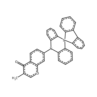 Cc1coc2cc(N3c4ccccc4[Si]4(c5ccccc5-c5ccccc54)c4ccccc43)ccc2c1=O